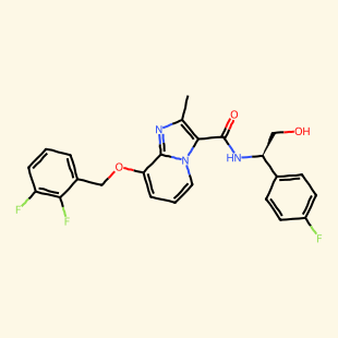 Cc1nc2c(OCc3cccc(F)c3F)cccn2c1C(=O)N[C@@H](CO)c1ccc(F)cc1